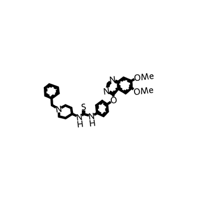 COc1cc2ncnc(Oc3ccc(NC(=S)NC4CCN(Cc5ccccc5)CC4)cc3)c2cc1OC